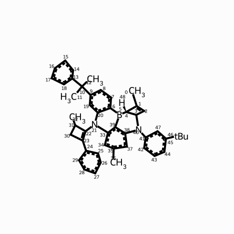 CC1=CC2[C@@H]1B1c3ccc(C(C)(C)c4ccccc4)cc3N(C3=C(c4ccccc4)CC3C)c3cc(C)cc(c31)N2c1cccc(C(C)(C)C)c1